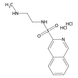 CNCCNS(=O)(=O)c1cc2ccccc2cn1.Cl.Cl